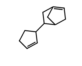 C1=CC(C2CC3=CCC2C3)CC1